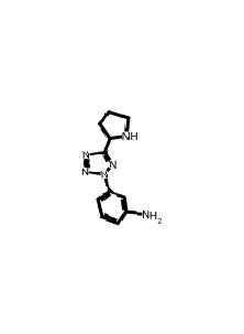 Nc1cccc(-n2nnc(C3CCCN3)n2)c1